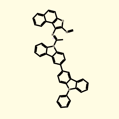 C=Nc1oc2ccc3ccccc3c2c1/N=C(\C)n1c2ccccc2c2cc(-c3ccc4c(c3)c3ccccc3n4-c3ccccc3)ccc21